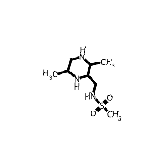 CC1CNC(C)C(CNS(C)(=O)=O)N1